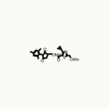 COCc1nc(C2CC2)c(C(=O)NCCC2CC(=O)C(c3c(C)cc(C)cc3C)C2=O)s1